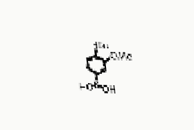 COc1cc(B(O)O)ccc1C(C)(C)C